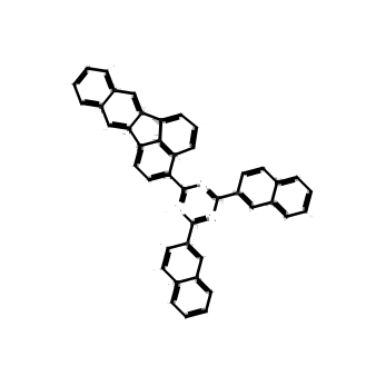 c1ccc2cc(-c3nc(-c4ccc5ccccc5c4)nc(-c4ccc5c6c(cccc46)-c4cc6ccccc6cc4-5)n3)ccc2c1